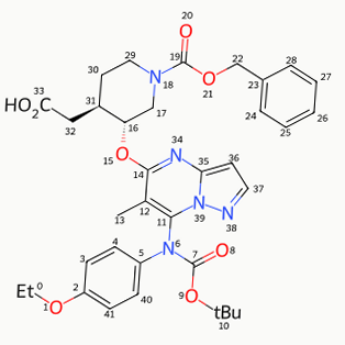 CCOc1ccc(N(C(=O)OC(C)(C)C)c2c(C)c(O[C@H]3CN(C(=O)OCc4ccccc4)CC[C@@H]3CC(=O)O)nc3ccnn23)cc1